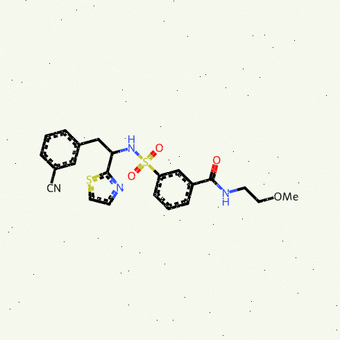 COCCNC(=O)c1cccc(S(=O)(=O)NC(Cc2cccc(C#N)c2)c2nccs2)c1